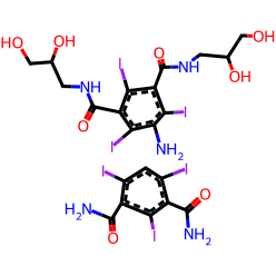 NC(=O)c1c(I)cc(I)c(C(N)=O)c1I.Nc1c(I)c(C(=O)NCC(O)CO)c(I)c(C(=O)NCC(O)CO)c1I